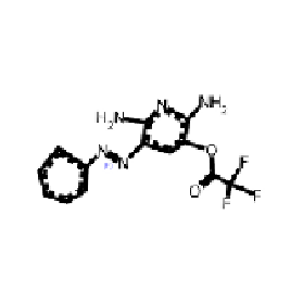 Nc1nc(N)c(OC(=O)C(F)(F)F)cc1/N=N/c1ccccc1